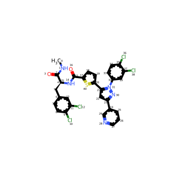 CNC(=O)[C@H](Cc1ccc(Cl)c(Cl)c1)NC(=O)c1ccc(-c2cc(-c3cccnc3)nn2-c2ccc(Cl)c(Cl)c2)s1